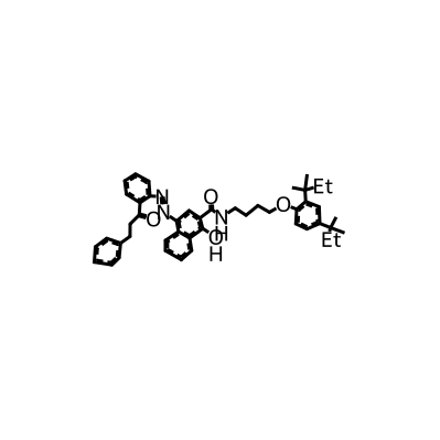 CCC(C)(C)c1ccc(OCCCCNC(=O)c2cc(N=Nc3ccccc3C(=O)CCc3ccccc3)c3ccccc3c2O)c(C(C)(C)CC)c1